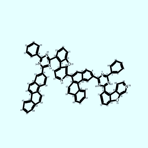 c1ccc(-c2nc(-c3ccc4cc(-c5nccc6c5oc5cccc(-c7nc(-c8ccccc8)nc(-c8ccc9c(ccc%10c%11ccccc%11ccc9%10)c8)n7)c56)c5ccc6ccccc6c5c4c3)nc(-c3cccc4oc5cnccc5c34)n2)cc1